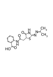 CC(C)=N/N=C1\NC(=O)C(CC(=O)Nc2ccccc2C(=O)O)S1